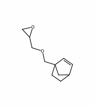 C1=CC2(COCC3CO3)CCC1C2